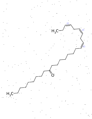 CC/C=C\C/C=C\C/C=C\CCCCCCCC(=O)CCCCCCCCC